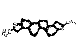 Cc1cc2c(ccc3c2ccc2c4ccc5sc(C)cc5c4ccc32)s1